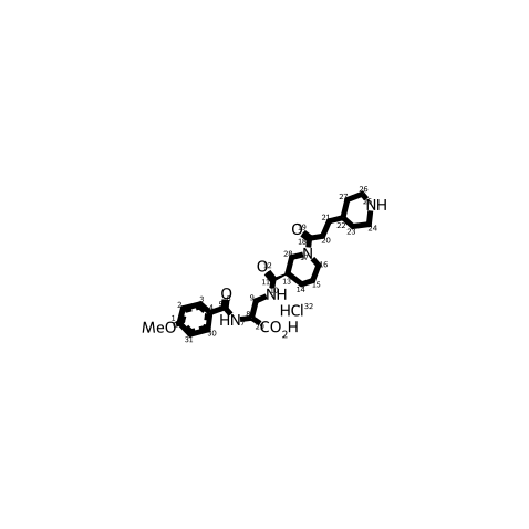 COc1ccc(C(=O)NC(CNC(=O)[C@@H]2CCCN(C(=O)CCC3CCNCC3)C2)C(=O)O)cc1.Cl